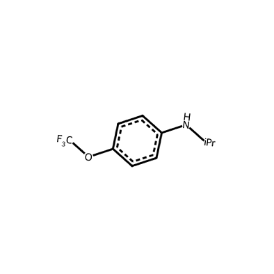 CC(C)Nc1ccc(OC(F)(F)F)cc1